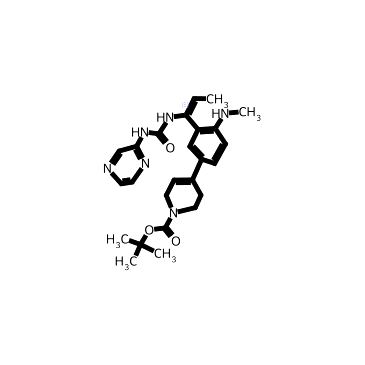 C/C=C(/NC(=O)Nc1cnccn1)c1cc(C2=CCN(C(=O)OC(C)(C)C)CC2)ccc1NC